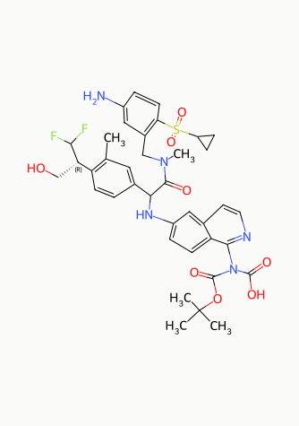 Cc1cc(C(Nc2ccc3c(N(C(=O)O)C(=O)OC(C)(C)C)nccc3c2)C(=O)N(C)Cc2cc(N)ccc2S(=O)(=O)C2CC2)ccc1[C@H](CO)C(F)F